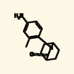 Cc1cc(N)ccc1N1C(=O)C2CCC1CC2